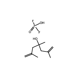 C=C(C)CC(C)(O)CC(=C)C.O=P(O)(F)F